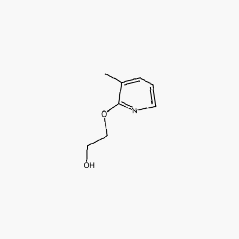 Cc1cccnc1OCCO